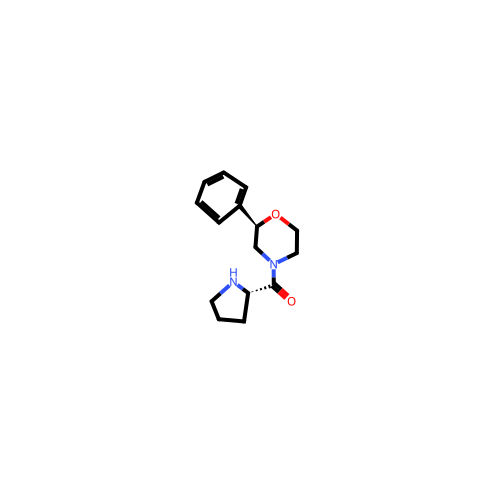 O=C([C@@H]1CCCN1)N1CCO[C@H](c2ccccc2)C1